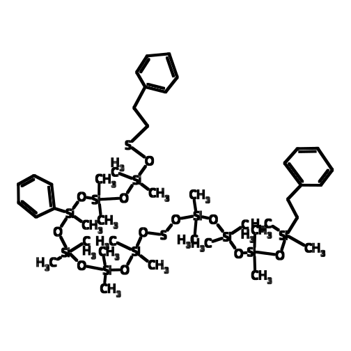 C[Si](C)(CCc1ccccc1)O[Si](C)(C)O[Si](C)(C)O[Si](C)(C)OSO[Si](C)(C)O[Si](C)(C)O[Si](C)(C)O[Si](C)(O[Si](C)(C)O[Si](C)(C)OSCCc1ccccc1)c1ccccc1